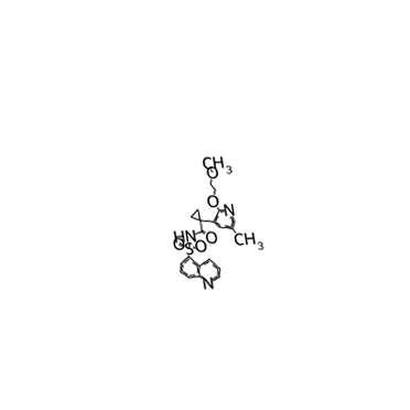 COCCOc1ncc(C)cc1C1(C(=O)NS(=O)(=O)c2cccc3ncccc23)CC1